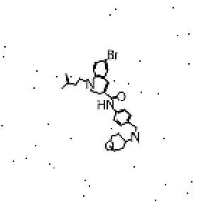 CC(C)CCN1CCC(C(=O)Nc2ccc(CN(C)C3CCOCC3)cc2)=Cc2cc(Br)ccc21